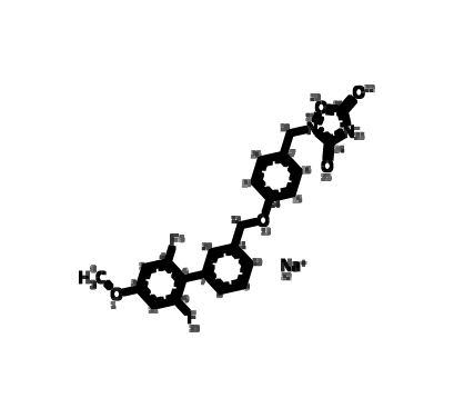 COc1cc(F)c(-c2cccc(COc3ccc(Cn4oc(=O)[n-]c4=O)cc3)c2)c(F)c1.[Na+]